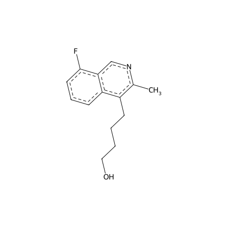 Cc1ncc2c(F)cccc2c1CCCCO